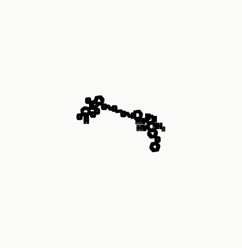 N=C(c1ccc(Oc2ccccc2)cc1)c1c(N)ncnc1NC1CCCN(CCOCCOCCOc2cccc3c2C(=O)N(C2CCC(=O)NC2=O)C3=O)C1